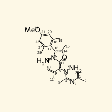 C=C(C)/N=C(/C)N(N)/C(C(=C)C)=C1\OC(C)=C(c2c(C)cc(OC)cc2C)N1N